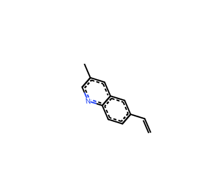 C=Cc1ccc2ncc(C)cc2c1